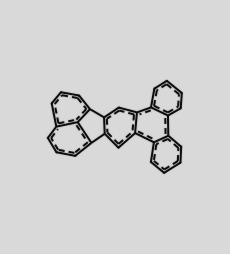 c1cc2c3c(cccc3c1)-c1cc3c4ccccc4c4ccccc4c3cc1-2